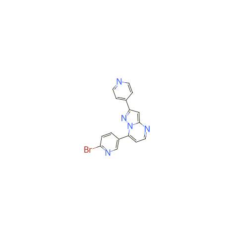 Brc1ccc(-c2ccnc3cc(-c4ccncc4)nn23)cn1